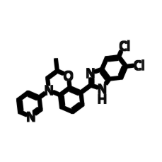 CC1CN(c2cccnc2)c2cccc(-c3nc4cc(Cl)c(Cl)cc4[nH]3)c2O1